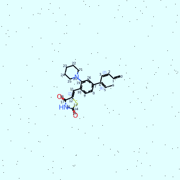 C=C/C=C\C(=C/C)c1ccc(/C=C2\SC(=O)NC2=O)c(N2CCCCC2)c1